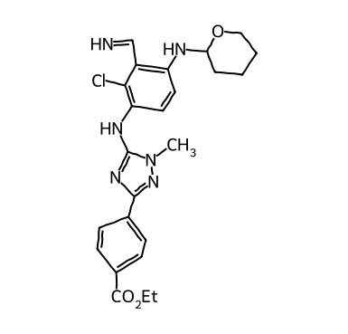 CCOC(=O)c1ccc(-c2nc(Nc3ccc(NC4CCCCO4)c(C=N)c3Cl)n(C)n2)cc1